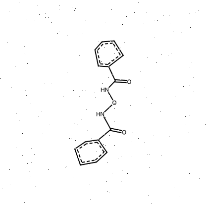 O=C(NONC(=O)c1ccccc1)c1ccccc1